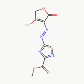 COC(=O)c1nsc(N=NC2=C(O)COC2=O)n1